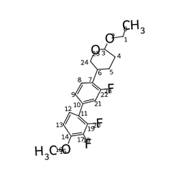 CCOC1CCC(c2ccc(-c3ccc(OC)c(F)c3F)cc2F)CO1